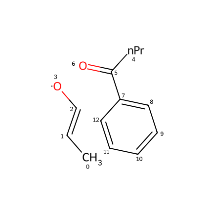 CC=C[O].CCCC(=O)c1ccccc1